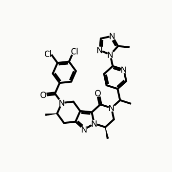 Cc1ncnn1-c1ccc(C(C)N2C[C@@H](C)n3nc4c(c3C2=O)CN(C(=O)c2ccc(Cl)c(Cl)c2)[C@H](C)C4)cn1